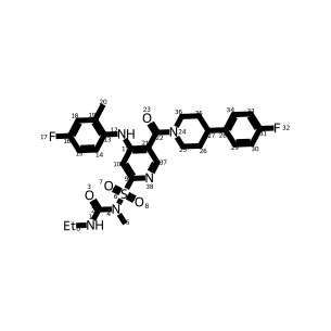 CCNC(=O)N(C)S(=O)(=O)c1cc(Nc2ccc(F)cc2C)c(C(=O)N2CCC(c3ccc(F)cc3)CC2)cn1